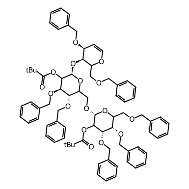 CC(C)(C)C(=O)OC1[C@H](OCC2O[C@H](O[C@@H]3C(COCc4ccccc4)OC=C[C@@H]3OCc3ccccc3)C(OC(=O)C(C)(C)C)[C@H](OCc3ccccc3)[C@H]2OCc2ccccc2)OC(COCc2ccccc2)[C@H](OCc2ccccc2)[C@@H]1OCc1ccccc1